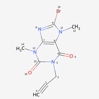 C#CCn1c(=O)c2c(nc(Br)n2C)n(C)c1=O